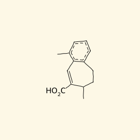 Cc1cccc2c1C=C(C(=O)O)C(C)CC2